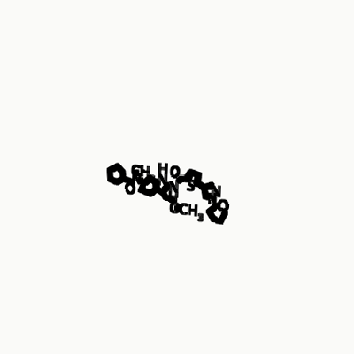 COCCc1c(NC(=O)c2ccc(-c3cnn(C4CCCCO4)c3)s2)[nH]c2cc(N(C)C(=O)C3CCCCC3)ccc12